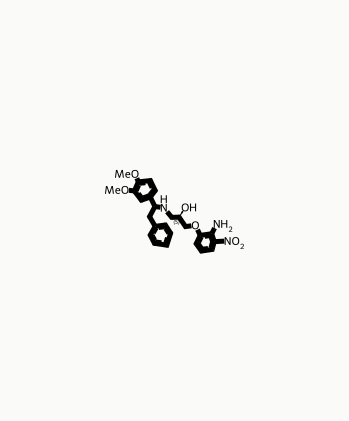 COc1ccc(C(Cc2ccccc2)NC[C@H](O)COc2cccc([N+](=O)[O-])c2N)cc1OC